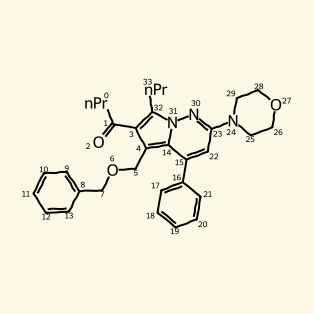 CCCC(=O)c1c(COCc2ccccc2)c2c(-c3ccccc3)cc(N3CCOCC3)nn2c1CCC